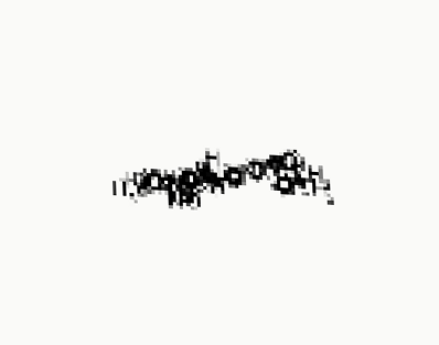 CC(C)c1ccccc1[C@@H]1COCCC12CN(C1CCN(c3ccc(C(=O)NS(=O)(=O)c4ccc(NCC5CCC(C)(O)CC5)c([N+](=O)[O-])c4)cc3)CC1)C2